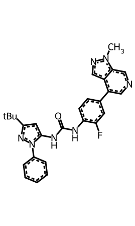 Cn1ncc2c(-c3ccc(NC(=O)Nc4cc(C(C)(C)C)nn4-c4ccccc4)c(F)c3)cncc21